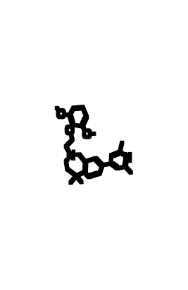 COc1cccc(OC)c1OCCN1CCC(C)(C)c2ccc(-c3cc(C)nc(C)c3)cc2C1